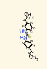 C=CCc1ccc(NC(=S)Nc2cccc(CC=C)c2)cc1